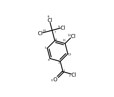 O=C(Cl)c1ccc(C(Cl)(Cl)Cl)c(Cl)c1